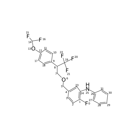 Fc1ccc(COCC(c2ccc(OC(F)F)cc2)C(F)(F)F)cc1Nc1ccccc1